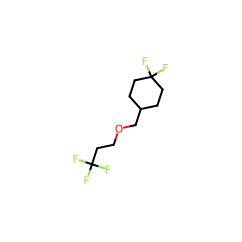 FC(F)(F)CCOCC1CCC(F)(F)CC1